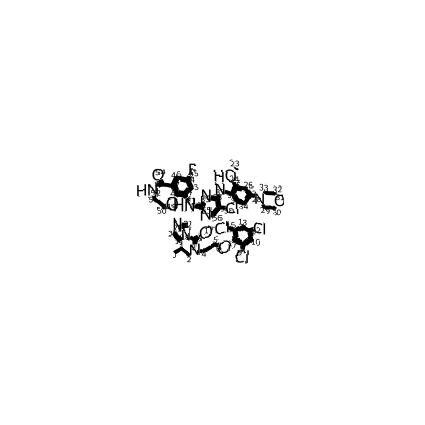 CCCN(CCOc1c(Cl)cc(Cl)cc1Cl)C(=O)n1ccnc1.COc1cc(N2CCOCC2)ccc1Nc1nc(Nc2cc(F)cc3c2OCCNC3=O)ncc1Cl